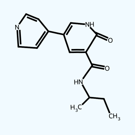 CCC(C)NC(=O)c1cc(-c2ccncc2)c[nH]c1=O